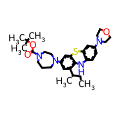 CCC(C)c1cc(N2CCCN(C(=O)OC(C)(C)C)CC2)cc2c1Nc1ccc(N3CCOCC3)cc1S2